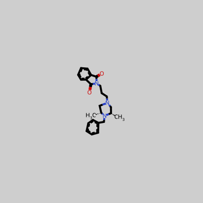 C[C@@H]1CN(CCCN2C(=O)c3ccccc3C2=O)C[C@H](C)N1Cc1ccccc1